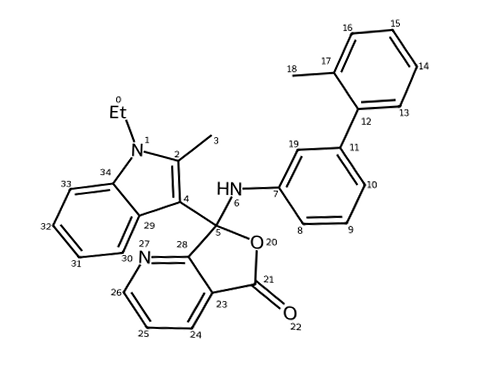 CCn1c(C)c(C2(Nc3cccc(-c4ccccc4C)c3)OC(=O)c3cccnc32)c2ccccc21